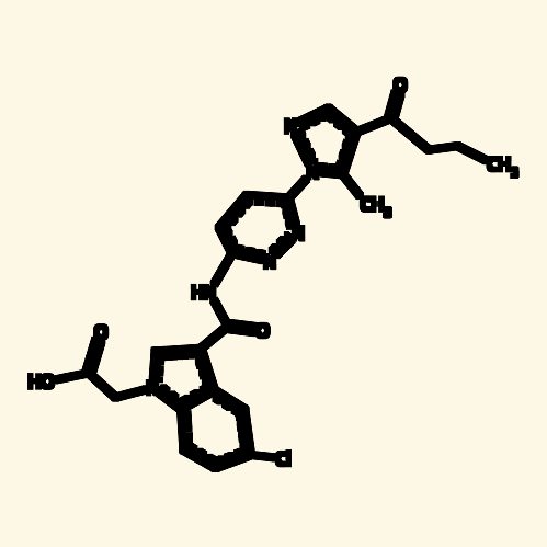 CCCC(=O)c1cnn(-c2ccc(NC(=O)c3cn(CC(=O)O)c4ccc(Cl)cc34)nn2)c1C